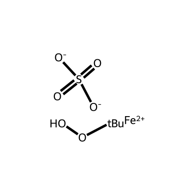 CC(C)(C)OO.O=S(=O)([O-])[O-].[Fe+2]